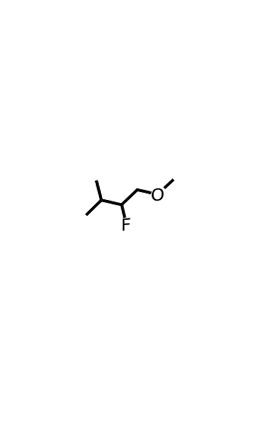 COCC(F)C(C)C